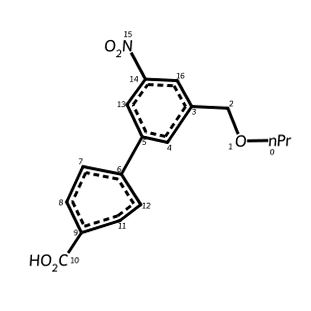 CCCOCc1cc(-c2ccc(C(=O)O)cc2)cc([N+](=O)[O-])c1